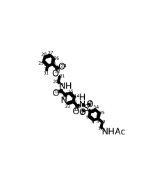 CC(=O)NCCc1ccc(S(=O)(=O)NC(=O)c2ccc(C(=O)NCCOC(=O)c3ccccc3C)nc2)cc1